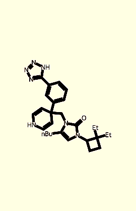 CCCCc1cn(C2CCC2(CC)CC)c(=O)n1CC1(c2cccc(-c3nnn[nH]3)c2)C=CNC=C1